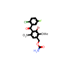 COc1c(COC(N)=O)cc([N+](=O)[O-])c(C(=O)c2cc(F)ccc2Cl)c1Br